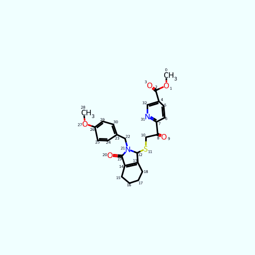 COC(=O)c1ccc(C(=O)CSC2C3=C(CCCC3)C(=O)N2Cc2ccc(OC)cc2)nc1